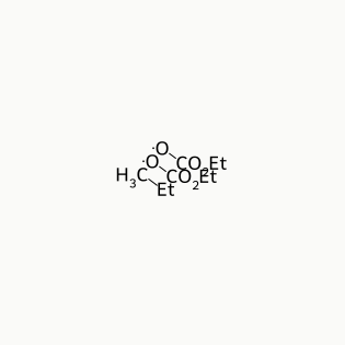 CCC.CCOC([O])=O.CCOC([O])=O